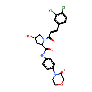 O=C(Nc1ccc(N2CCOCC2=O)cc1)[C@H]1C[C@@H](O)CN1C(=O)C=Cc1ccc(Cl)c(Cl)c1